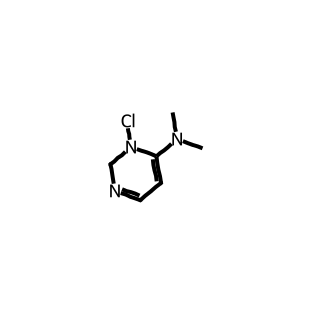 CN(C)C1=CC=NCN1Cl